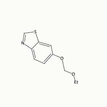 CCOCOc1ccc2ncsc2c1